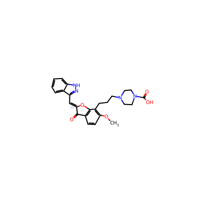 COc1ccc2c(c1CCCN1CCN(C(=O)O)CC1)O/C(=C\c1n[nH]c3ccccc13)C2=O